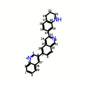 c1ccc2ncc(-c3ccc4cnc(-c5ccc6c(c5)NCCC6)cc4c3)cc2c1